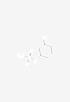 CC(C)C1CCCC(NS(C)(=O)=O)C1